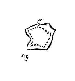 [Ag].c1ccsc1